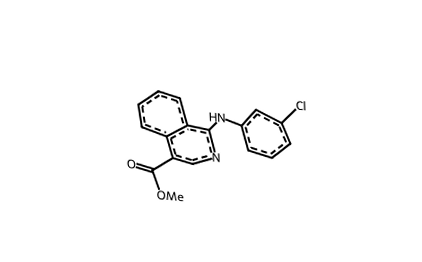 COC(=O)c1cnc(Nc2cccc(Cl)c2)c2ccccc12